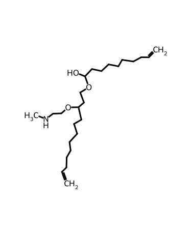 C=CCCCCCCCC(O)OCCC(CCCCCCCC=C)OCCNC